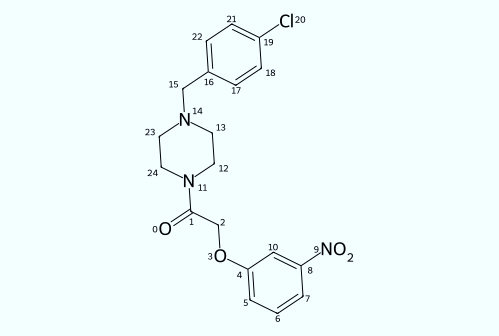 O=C(COc1cccc([N+](=O)[O-])c1)N1CCN(Cc2ccc(Cl)cc2)CC1